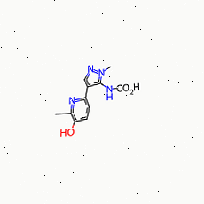 Cc1nc(-c2cnn(C)c2NC(=O)O)ccc1O